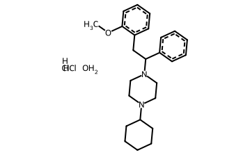 COc1ccccc1CC(c1ccccc1)N1CCN(C2CCCCC2)CC1.Cl.Cl.O